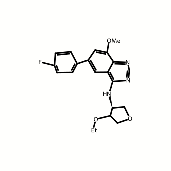 CCOC1COC[C@@H]1Nc1ncnc2c(OC)cc(-c3ccc(F)cc3)cc12